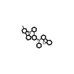 Cc1ccc2c3ccccc3n(-c3ccccc3-c3cccc(N(c4ccccc4)c4cccc5c4oc4ccccc45)c3)c2c1